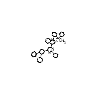 CC1(C)c2ccccc2-c2cccc(-c3ccc(-c4cc(-c5ccc(-c6ccccc6)c(-c6ccccc6)c5)nc(-c5ccccc5)n4)c4ccccc34)c21